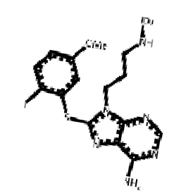 CC[C@H](C)NCCCn1c(Sc2cc(OC)ccc2I)nc2c(N)ncnc21